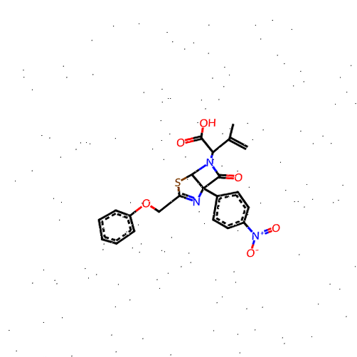 C=C(C)C(C(=O)O)N1C(=O)C2(c3ccc([N+](=O)[O-])cc3)N=C(COc3ccccc3)SC12